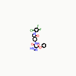 O=C(Oc1ccccc1)c1nc[nH]c1C(=O)NC1CCC2(CC1)CCN(c1cc(F)c(F)cc1Cl)C2=O